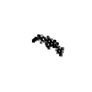 COc1c(N2C[C@@H](C)N(C(=O)CN=[N+]=[N-])[C@@H](C)C2)c(F)cc2c(=O)c(C(=O)NCc3ccc(Cl)cc3Cl)cn(C3CC3)c12